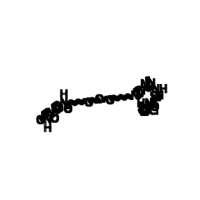 Cc1nc(Nc2ncc(C(=O)Nc3c(C)cccc3Cl)s2)cc(N2CCN(CCCCCCOCCOCCOCCCCCC(=O)Nc3ccc(-n4ccc(=O)[nH]c4=O)cc3)CC2)n1